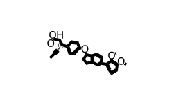 CC#C[C@H](CC(=O)O)c1ccc(OC2CCc3cc(-c4cccc(OC)c4OC)ccc32)cc1